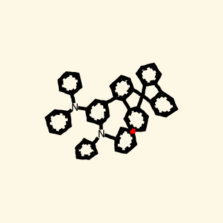 c1ccc(N(c2ccccc2)c2cc(-c3cccc4c3-c3ccccc3C43c4ccccc4-c4ccccc43)cc(N(c3ccccc3)c3ccccc3)c2)cc1